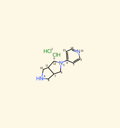 Cl.Cl.c1cc(N2CC3CNCC3C2)ccn1